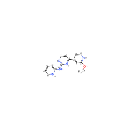 COc1cc(-c2ccnc(Nc3ccccn3)n2)ccn1